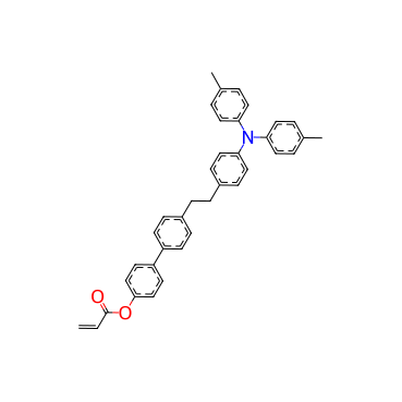 C=CC(=O)Oc1ccc(-c2ccc(CCc3ccc(N(c4ccc(C)cc4)c4ccc(C)cc4)cc3)cc2)cc1